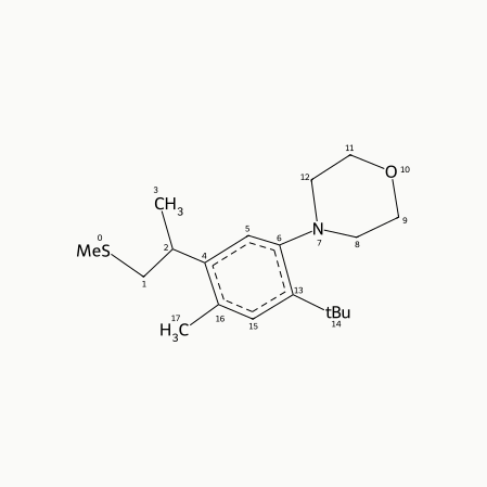 CSCC(C)c1cc(N2CCOCC2)c(C(C)(C)C)cc1C